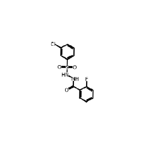 O=C(NNS(=O)(=O)c1cccc(Cl)c1)c1ccccc1F